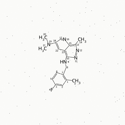 Cc1cc(F)ccc1CNc1nnc(C)c2ncc(N(C)C)cc12